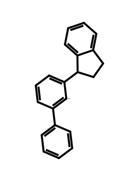 [c]1c(-c2ccccc2)cccc1C1CCc2ccccc21